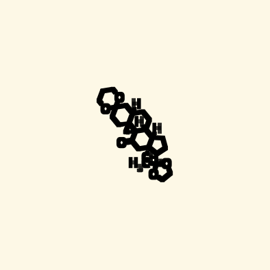 CC1([C@H]2CC[C@H]3[C@@H]4CC[C@H]5CC6(CC[C@@]57C[C@@]47C(=O)C[C@]23C)OCCCO6)OCCO1